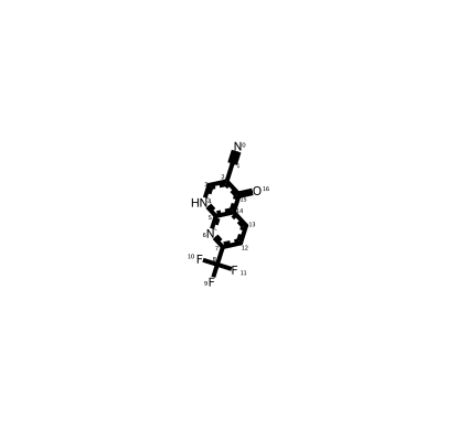 N#Cc1c[nH]c2nc(C(F)(F)F)ccc2c1=O